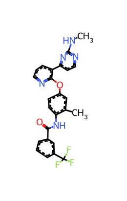 CNc1nccc(-c2cccnc2Oc2ccc(NC(=O)c3cccc(C(F)(F)F)c3)c(C)c2)n1